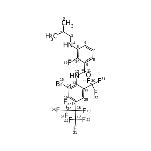 CC(C)CNc1cccc(C(=O)Nc2c(Br)cc(C(F)(C(F)(F)F)C(F)(F)F)cc2C(F)(F)F)c1F